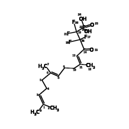 CC(C)=CCCC(C)=CCCC(C)=CC(=O)C(F)(F)C(F)(F)P(=O)(O)O